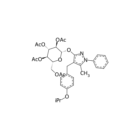 CC(=O)OC[C@H]1O[C@@H](Oc2nn(-c3ccccc3)c(C)c2Cc2ccc(OC(C)C)cc2)[C@H](OC(C)=O)[C@@H](OC(C)=O)[C@@H]1OC(C)=O